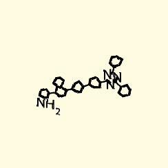 Nc1cccc(-c2ccc(-c3ccc(-c4ccc(-c5nc(-c6ccccc6)nc(-c6ccccc6)n5)cc4)cc3)c3ccccc23)c1